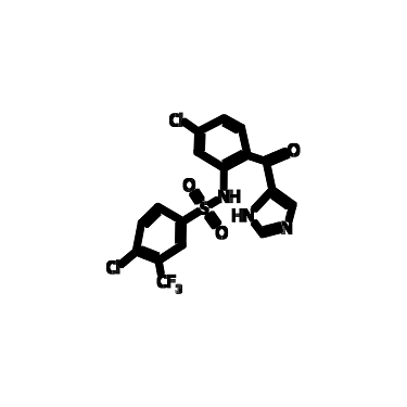 O=C(c1cnc[nH]1)c1ccc(Cl)cc1NS(=O)(=O)c1ccc(Cl)c(C(F)(F)F)c1